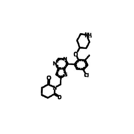 Cc1cc(Cl)cc(-c2ncnc3cc(CN4C(=O)CCCC4=O)sc23)c1OC1CCNCC1